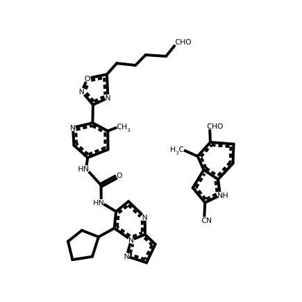 Cc1c(C=O)ccc2[nH]c(C#N)cc12.Cc1cc(NC(=O)Nc2cnc3ccnn3c2C2CCCC2)cnc1-c1noc(CCCCC=O)n1